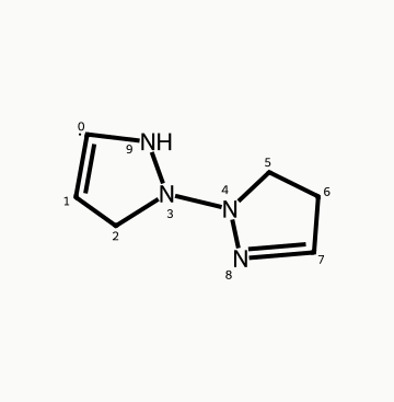 [C]1=CCN(N2CCC=N2)N1